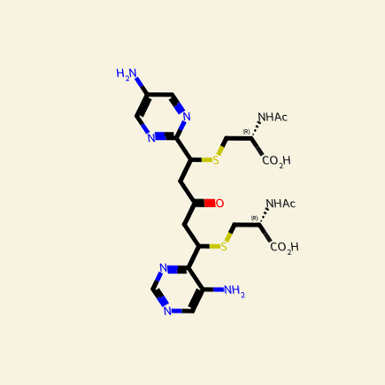 CC(=O)N[C@@H](CSC(CC(=O)CC(SC[C@H](NC(C)=O)C(=O)O)c1ncncc1N)c1ncc(N)cn1)C(=O)O